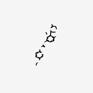 CCOc1ccc(OC(=O)Nc2ccc(F)c([C@]3(C(F)F)COCC(N)=N3)c2)nc1